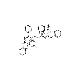 C[Si](C)(C)N(Cc1ccccc1)/N=C(/CCC/C(=N\N(Cc1ccccc1)[Si](C)(C)C)c1ccccc1)c1ccccc1